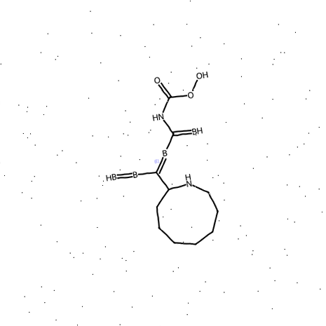 B=B/C(=B\C(=B)NC(=O)OO)C1CCCCCCCN1